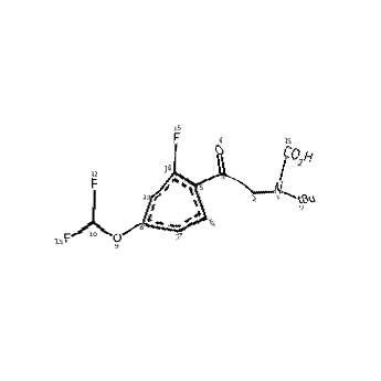 CC(C)(C)N(CC(=O)c1ccc(OC(F)F)cc1F)C(=O)O